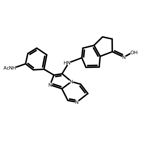 CC(=O)Nc1cccc(-c2nc3cnccn3c2Nc2ccc3c(c2)CC/C3=N\O)c1